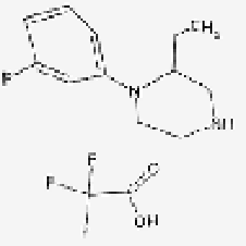 CCC1CNCCN1c1cccc(F)c1.O=C(O)C(F)(F)F